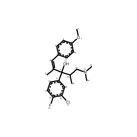 COc1ccc(C=C(C)C(O)(c2ccc(F)c(Cl)c2)C(C)CN(C)C)cc1